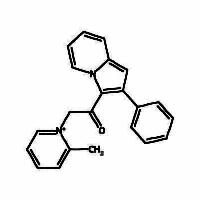 Cc1cccc[n+]1CC(=O)c1c(-c2ccccc2)cc2ccccn12